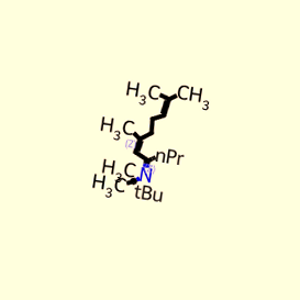 CCCC(/C=C(/C)CCC=C(C)C)=N/C(C)(C)C(C)(C)C